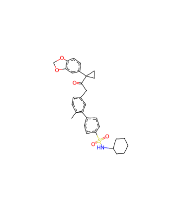 Cc1ccc(CC(=O)C2(c3ccc4c(c3)OCO4)CC2)cc1-c1ccc(S(=O)(=O)NC2CCCCC2)cc1